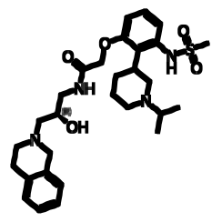 CC(C)N1CCCC(c2c(NS(C)(=O)=O)cccc2OCC(=O)NC[C@@H](O)CN2CCc3ccccc3C2)C1